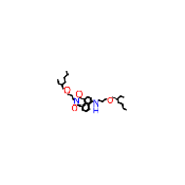 CCCCC(CC)COCCCNc1ccc2c3c(cccc13)C(=O)N(CCCOCC(CC)CCCC)C2=O